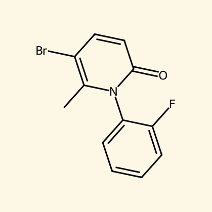 Cc1c(Br)ccc(=O)n1-c1ccccc1F